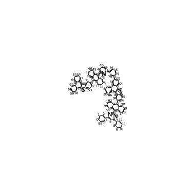 c1ccc(-c2cc(-c3ccccc3)nc(-c3c4ccccc4c(-c4ccc5sc6c7ccc(-c8cccc(-c9cccc(-c%10c%11ccccc%11c(-c%11ccc%12sc%13c%14ccccc%14c%14ccccc%14c%13c%12c%11)c%11ccccc%10%11)n9)c8)cc7c7ccccc7c6c5c4)c4ccccc34)n2)cc1